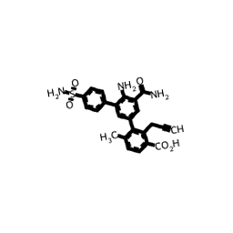 C#CCc1c(C(=O)O)ccc(C)c1-c1cc(C(N)=O)c(N)c(-c2ccc(S(N)(=O)=O)cc2)c1